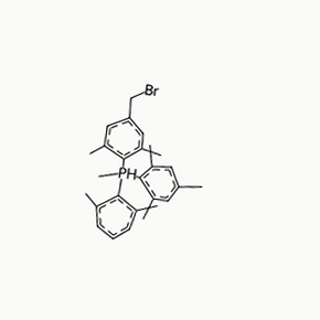 Cc1cc(C)c([PH](C)(c2c(C)cccc2C)c2c(C)cc(CBr)cc2C)c(C)c1